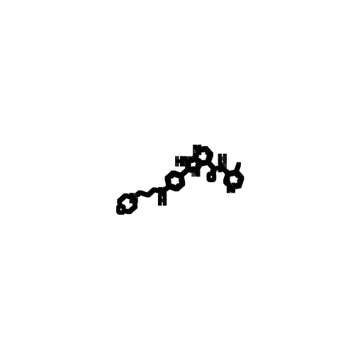 Cc1ccncc1NC(=O)c1ccnc2[nH]c(-c3ccc(NCCCN4CCOCC4)cc3)nc12